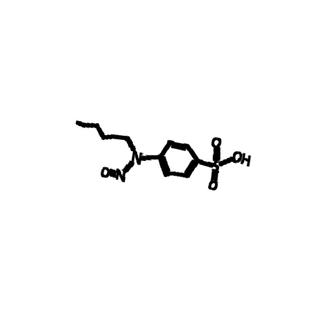 CCCCN(N=O)c1ccc(S(=O)(=O)O)cc1